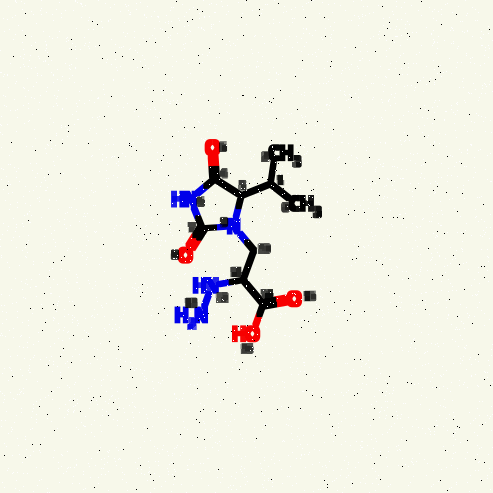 CC(C)C1C(=O)NC(=O)N1CC(NN)C(=O)O